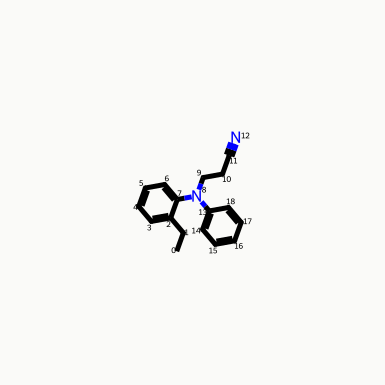 CCc1ccccc1N(CCC#N)c1ccccc1